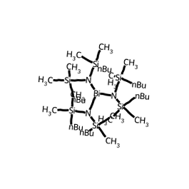 CCCC[Si](C)(C)[N]([Bi]([N]([Si](C)(C)CCCC)[Si](C)(C)CCCC)[N]([Si](C)(C)CCCC)[Si](C)(C)CCCC)[Si](C)(C)CCCC